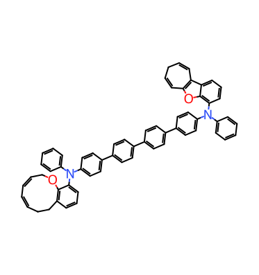 C1=Cc2oc3c(N(c4ccccc4)c4ccc(-c5ccc(-c6ccc(-c7ccc(N(c8ccccc8)c8cccc9c8OC/C=C\C=C/CC9)cc7)cc6)cc5)cc4)cccc3c2C=CC1